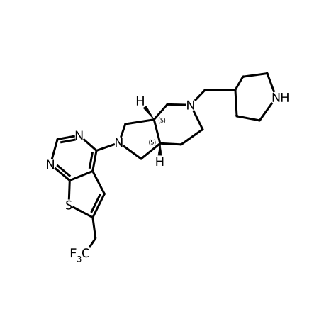 FC(F)(F)Cc1cc2c(N3C[C@H]4CCN(CC5CCNCC5)C[C@H]4C3)ncnc2s1